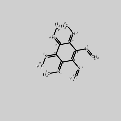 C=Nc1c(N=C)c(=N/C)/c(=N\C)c(=NC)/c1=N\C